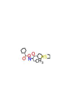 CCC(=NOC(=O)c1ccccc1)C(=O)c1ccc([SH]2C=CC=C2)cc1